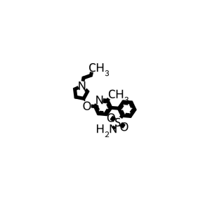 CCCN1CC[C@@H](Oc2ccc(-c3ccccc3S(N)(=O)=O)c(C)n2)C1